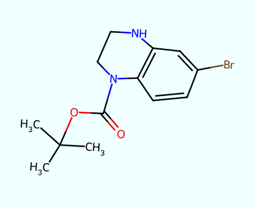 CC(C)(C)OC(=O)N1CCNc2cc(Br)ccc21